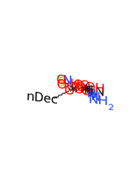 CCCCCCCCCCCCCCCCCCOC[C@H](COP(=O)(O)OC[C@H]1O[C@@](C#N)(c2ccc3c(N)ncnn23)[C@H](O)[C@@H]1O)OCc1cncc(S(C)(=O)=O)c1